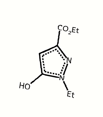 CCOC(=O)c1cc(O)n(CC)n1